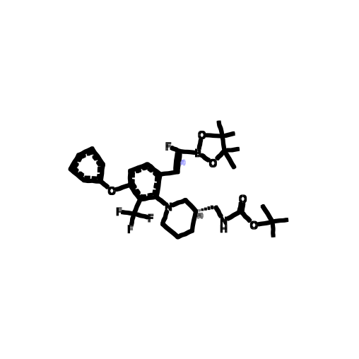 CC(C)(C)OC(=O)NC[C@@H]1CCCN(c2c(/C=C(\F)B3OC(C)(C)C(C)(C)O3)ccc(Oc3ccccc3)c2C(F)(F)F)C1